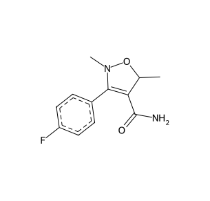 CC1ON(C)C(c2ccc(F)cc2)=C1C(N)=O